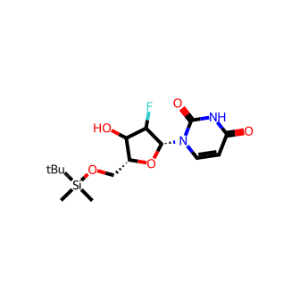 CC(C)(C)[Si](C)(C)OC[C@H]1O[C@@H](n2ccc(=O)[nH]c2=O)C(F)C1O